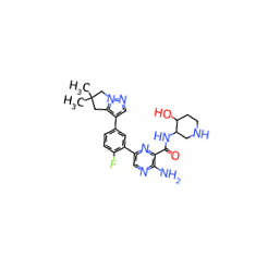 CC1(C)Cc2c(-c3ccc(F)c(-c4cnc(N)c(C(=O)NC5CNCCC5O)n4)c3)cnn2C1